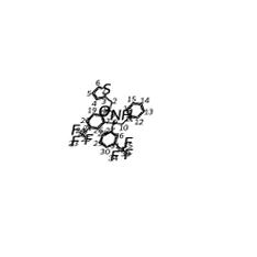 O=C(Cc1cccs1)NC(Cc1ccccc1)(c1cccc(C(F)(F)F)c1)c1cccc(C(F)(F)F)c1